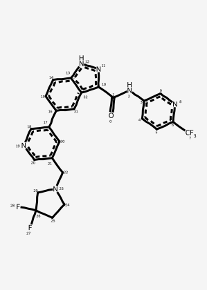 O=C(Nc1ccc(C(F)(F)F)nc1)c1n[nH]c2ccc(-c3cncc(CN4CCC(F)(F)C4)c3)cc12